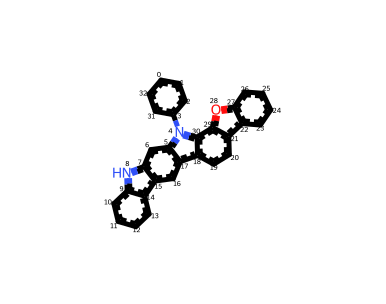 c1ccc(-n2c3cc4[nH]c5ccccc5c4cc3c3ccc4c5ccccc5oc4c32)cc1